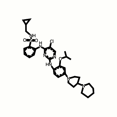 CC(C)Oc1cc(N2CCC(N3CCCCC3)CC2)ccc1Nc1ncc(Cl)c(Nc2ccccc2S(=O)(=O)NCC2CC2)n1